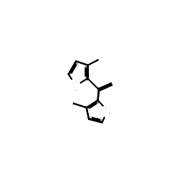 C=C(c1sccc1C)c1sccc1C